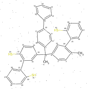 Cc1ccc(C(C)(c2ccc(-c3ccccc3)cc2)c2ccc(S)c(-c3ccccc3S)c2)cc1-c1ccccc1S